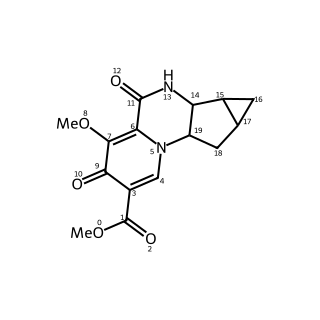 COC(=O)c1cn2c(c(OC)c1=O)C(=O)NC1C3CC3CC12